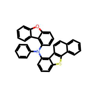 c1ccc(N(c2cccc3oc4ccccc4c23)c2cccc3sc4c5ccccc5ccc4c23)cc1